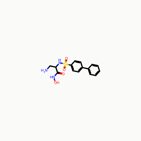 NCC(NS(=O)(=O)c1ccc(-c2ccccc2)cc1)C(=O)NO